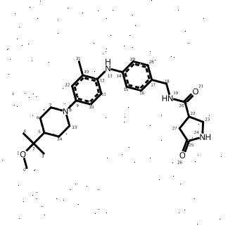 COC(C)(C)C1CCN(c2ccc(Nc3ccc(CNC(=O)C4CNC(=O)C4)cc3)c(C)c2)CC1